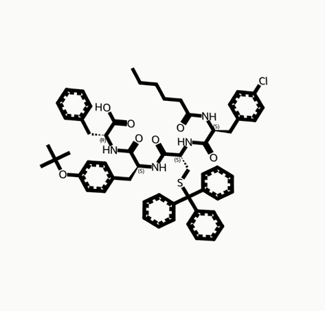 CCCCCC(=O)N[C@@H](Cc1ccc(Cl)cc1)C(=O)N[C@H](CSC(c1ccccc1)(c1ccccc1)c1ccccc1)C(=O)N[C@@H](Cc1ccc(OC(C)(C)C)cc1)C(=O)N[C@H](Cc1ccccc1)C(=O)O